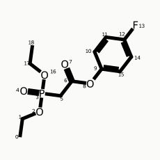 CCOP(=O)(CC(=O)Oc1ccc(F)cc1)OCC